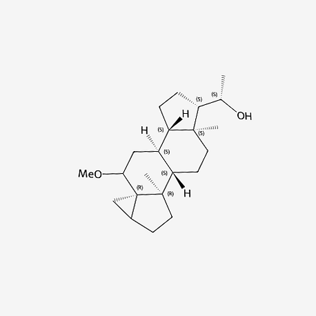 COC1C[C@H]2[C@@H]3CC[C@H]([C@H](C)O)[C@@]3(C)CC[C@@H]2[C@@]2(C)CCC3C[C@]312